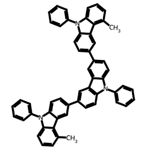 Cc1cccc2c1c1cc(-c3ccc4c(c3)c3cc(-c5ccc6c(c5)c5c(C)cccc5n6-c5ccccc5)ccc3n4-c3ccccc3)ccc1n2-c1ccccc1